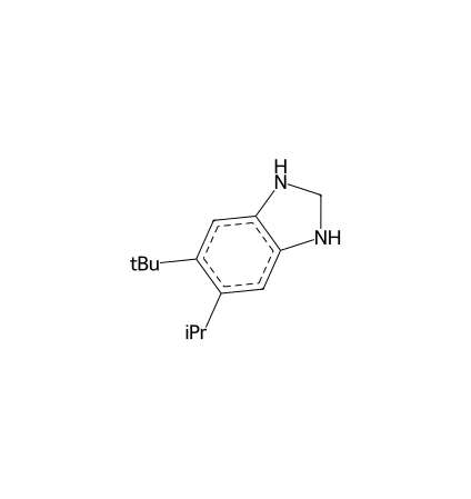 CC(C)c1cc2c(cc1C(C)(C)C)NCN2